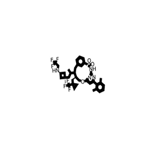 Cc1cccc(C)c1-c1cc2nc(n1)NS(=O)(=O)c1cccc(c1)CC(C(C)C[C@]1(C)C[C@@H](NCC(F)(F)F)C1)[C@H](CC1(C(F)(F)F)CC1)CO2